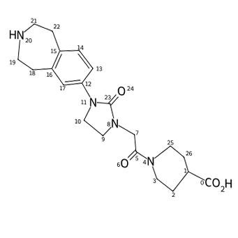 O=C(O)C1CCN(C(=O)CN2CCN(c3ccc4c(c3)CCNCC4)C2=O)CC1